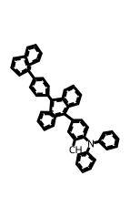 Cc1cc(-c2c3ccccc3c(-c3ccc(-c4cccc5ccccc45)cc3)c3ccccc23)ccc1N(c1ccccc1)c1ccccc1